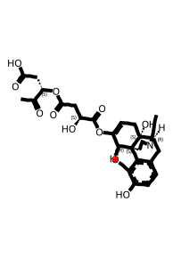 CC(=O)[C@H](CC(=O)O)OC(=O)C[C@H](O)C(=O)OC1=CC[C@@]2(O)[C@H]3Cc4ccc(O)c5c4[C@@]2(CCN3C)[C@H]1O5